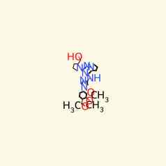 COc1c(C(C)=O)ccc(-n2cnc(Nc3nc(N4CCCC4CO)nn4cccc34)c2)c1OC